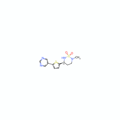 CN1CC[C@@H](c2ccc(-c3cncnc3)s2)NS1(=O)=O